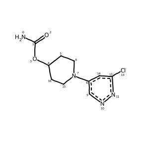 NC(=O)OC1CCN(c2cnnc(Cl)c2)CC1